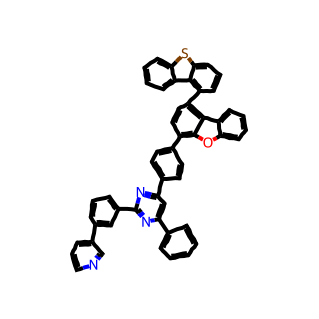 c1ccc(-c2cc(-c3ccc(-c4ccc(-c5cccc6sc7ccccc7c56)c5c4oc4ccccc45)cc3)nc(-c3cccc(-c4cccnc4)c3)n2)cc1